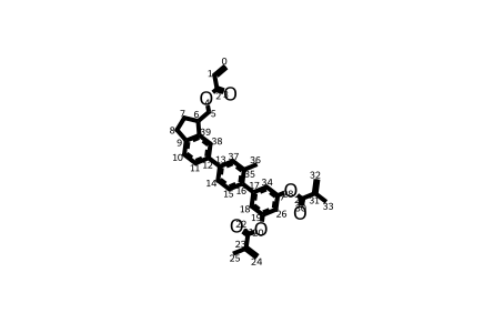 C=CC(=O)OCC1CCc2ccc(-c3ccc(-c4cc(OC(=O)C(=C)C)cc(OC(=O)C(=C)C)c4)c(C)c3)cc21